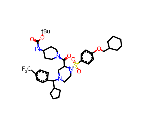 CC(C)(C)OC(=O)NC1CCN(C(=O)C2CN(C(c3ccc(C(F)(F)F)cc3)C3CCCC3)CCN2S(=O)(=O)c2ccc(OCC3CCCCC3)cc2)CC1